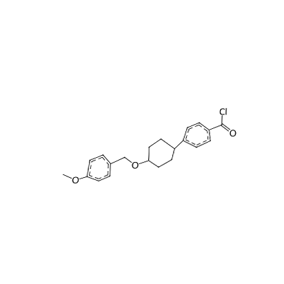 COc1ccc(COC2CCC(c3ccc(C(=O)Cl)cc3)CC2)cc1